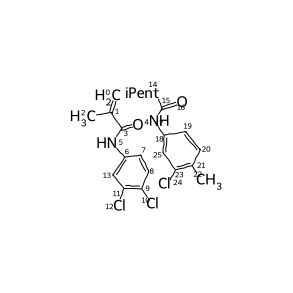 C=C(C)C(=O)Nc1ccc(Cl)c(Cl)c1.CCCC(C)C(=O)Nc1ccc(C)c(Cl)c1